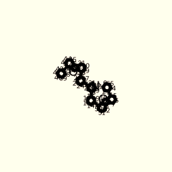 c1ccc(-c2cccc3c2oc2c(-c4cccc(-c5cncc(-c6cccc(-c7cccc8c7oc7c(-c9ccccc9)cccc78)c6)c5)c4)cccc23)cc1